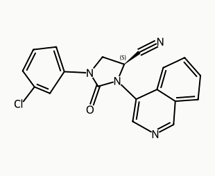 N#C[C@@H]1CN(c2cccc(Cl)c2)C(=O)N1c1cncc2ccccc12